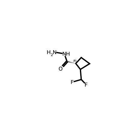 NNC(=O)[C@@H]1CCC1C(F)F